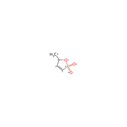 CC1C=CS(=O)(=O)O1